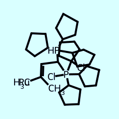 CC(C)=CC([PH](C1CCCC1)(C1CCCC1)C1CCCC1)P(Cl)(C1CCCC1)(C1CCCC1)C1(Cl)CCCC1.[Ru]